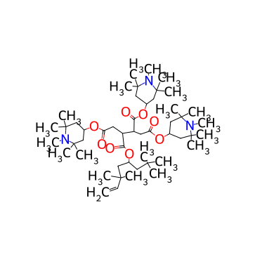 C=CC(C)(C)CC(CC(C)(C)C)OC(=O)C(CC(=O)OC1CC(C)(C)N(C)C(C)(C)C1)C(CC(=O)OC1CC(C)(C)N(C)C(C)(C)C1)C(=O)OC1CC(C)(C)N(C)C(C)(C)C1